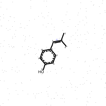 [CH2]/C(C)=C\c1ccc(O)cc1